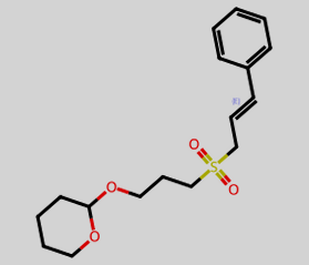 O=S(=O)(C/C=C/c1ccccc1)CCCOC1CCCCO1